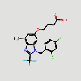 Cc1cc(OCCCC(=O)O)cc2c1nc(C(F)(F)F)n2Cc1ccc(Cl)cc1Cl